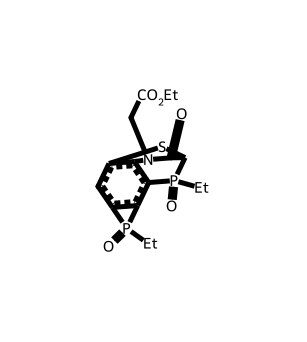 CCOC(=O)CN1C(=O)C2Sc3cc4c(c(c31)P2(=O)CC)P4(=O)CC